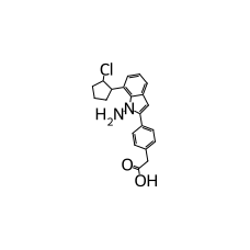 Nn1c(-c2ccc(CC(=O)O)cc2)cc2cccc(C3CCCC3Cl)c21